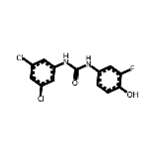 O=C(Nc1cc(Cl)cc(Cl)c1)Nc1ccc(O)c(F)c1